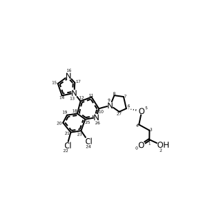 O=C(O)CCO[C@H]1CCN(c2cc(-n3ccnc3)c3ccc(Cl)c(Cl)c3n2)C1